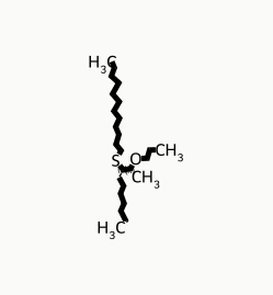 CCCCCCCCCCCCS[C@@H](CCCCCCC)[C@@H](C)OCCC